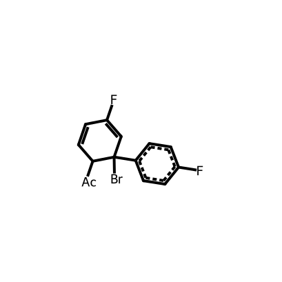 CC(=O)C1C=CC(F)=CC1(Br)c1ccc(F)cc1